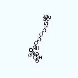 CC(C)(C)OC(=O)N1CCN(CCOCCOCCOCCOCCNc2cccc3c2CN(C2CCC(=O)NC2=O)C3=O)CC1